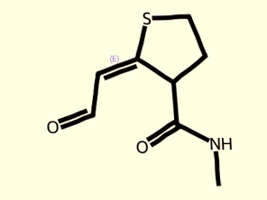 CNC(=O)C1CCS/C1=C/C=O